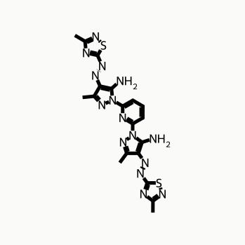 Cc1nsc(N=Nc2c(C)nn(-c3cccc(-n4nc(C)c(N=Nc5nc(C)ns5)c4N)n3)c2N)n1